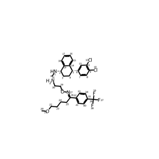 CN[C@H]1CC[C@@H](c2ccc(Cl)c(Cl)c2)c2ccccc21.COCCCC/C(=N\OCCN)c1ccc(C(F)(F)F)cc1